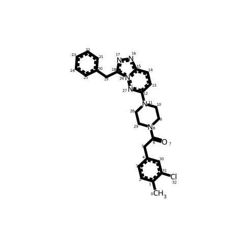 Cc1ccc(CC(=O)N2CCN(c3ccc4nnc(Cc5ccccc5)n4n3)CC2)cc1Cl